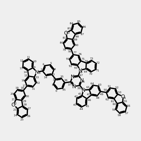 c1cc(-c2cccc(-n3c4ccccc4c4cc(-c5ccc6oc7ccccc7c6c5)ccc43)c2)cc(-c2nc(-n3c4ccccc4c4cc(-c5ccc6oc7ccccc7c6c5)ccc43)nc(-n3c4ccccc4c4cc(-c5ccc6oc7ccccc7c6c5)ccc43)n2)c1